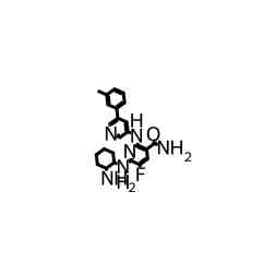 Cc1cccc(-c2cncc(Nc3nc(NC4CCCCC4N)c(F)cc3C(N)=O)c2)c1